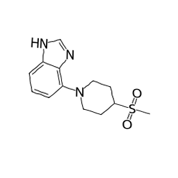 CS(=O)(=O)C1CCN(c2cccc3[nH]cnc23)CC1